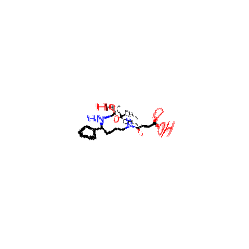 CC(C)(C)OC(O)NC(CCCNC(=O)/C=C/C(=O)O)c1ccccc1